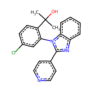 CC(C)(O)c1ccc(Cl)cc1-n1c(-c2ccncc2)nc2ccccc21